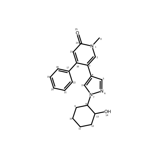 Cn1cc(-c2cnn(C3CCCCC3O)c2)c(-c2ccccc2)cc1=O